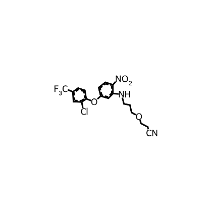 N#CCCOCCCNc1cc(Oc2ccc(C(F)(F)F)cc2Cl)ccc1[N+](=O)[O-]